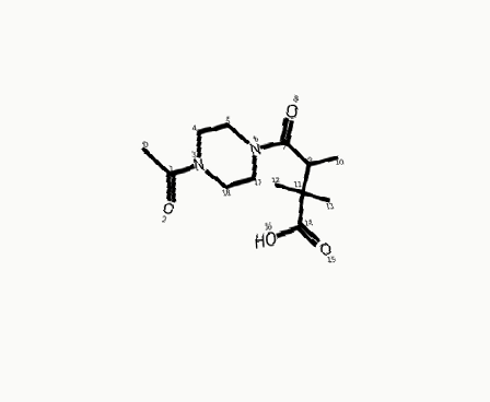 CC(=O)N1CCN(C(=O)C(C)C(C)(C)C(=O)O)CC1